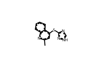 Cc1cc(Sc2nc[nH]n2)c2ccccc2n1